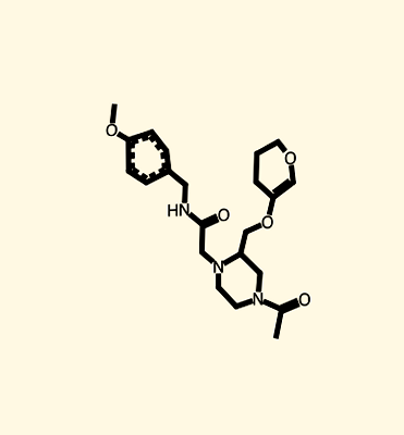 COc1ccc(CNC(=O)CN2CCN(C(C)=O)CC2COC2=COCCC2)cc1